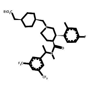 CCOC(=O)C[C@H]1CC[C@@H](CN2CC[C@H](C(=O)N(C)C(C)c3cc(C(F)(F)F)cc(C(F)(F)F)c3)[C@@H](c3ccc(F)cc3C)C2)CC1